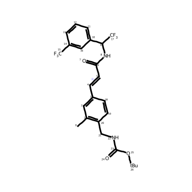 Cc1cc(/C=C/C(=O)NC(c2cccc(C(F)(F)F)c2)C(F)(F)F)ccc1CNC(=O)OC(C)(C)C